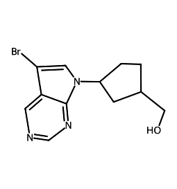 OCC1CCC(n2cc(Br)c3cncnc32)C1